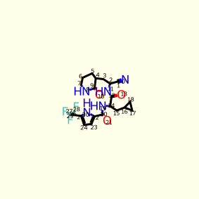 N#CC(CC1CCCNC1=O)NC(=O)C(CC1CC1)NC(=O)c1ccc(C(F)(F)F)[nH]1